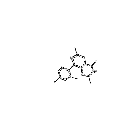 Cc1cc2c(=O)[nH]c(C)nc2c(-c2ccc(F)cc2C)n1